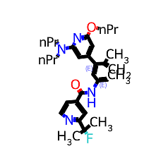 C=C(C)/C(=C\C(=C/C)NC(=O)c1ccnc(C(C)(C)F)c1)c1cc(OCCC)nc(N(CCC)CCC)c1